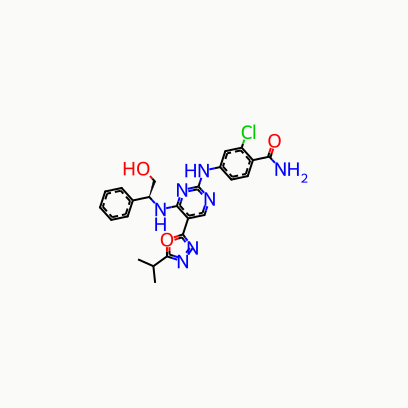 CC(C)c1nnc(-c2cnc(Nc3ccc(C(N)=O)c(Cl)c3)nc2N[C@H](CO)c2ccccc2)o1